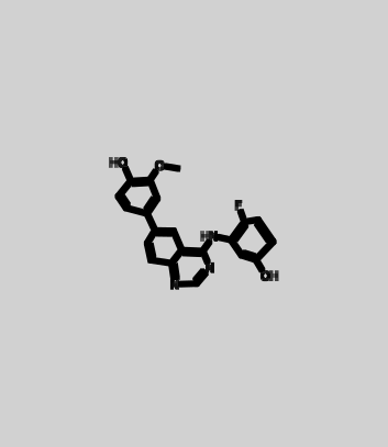 COc1cc(-c2ccc3ncnc(Nc4cc(O)ccc4F)c3c2)ccc1O